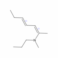 CC/C=C/C=C(/C)N(C)CCC